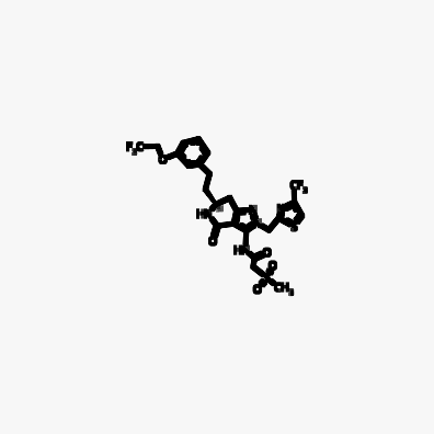 CS(=O)(=O)CC(=O)Nc1c2c(nn1Cc1nc(C(F)(F)F)cs1)C[C@H](CCc1cccc(OCC(F)(F)F)c1)NC2=O